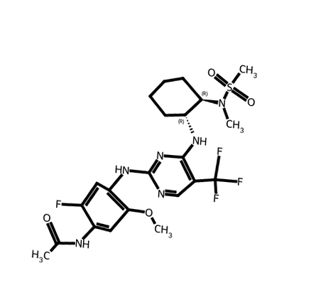 COc1cc(NC(C)=O)c(F)cc1Nc1ncc(C(F)(F)F)c(N[C@@H]2CCCC[C@H]2N(C)S(C)(=O)=O)n1